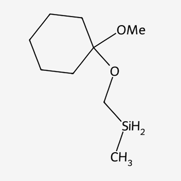 COC1(OC[SiH2]C)CCCCC1